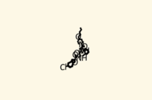 CCCCOC1CCN(C(=O)CNC(=O)[C@H](Cc2ccccn2)NC(=O)c2cc3cc(Cl)ccc3o2)CC1